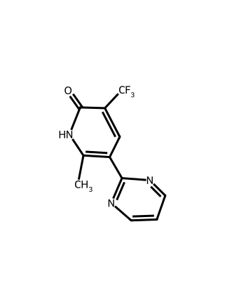 Cc1[nH]c(=O)c(C(F)(F)F)cc1-c1ncccn1